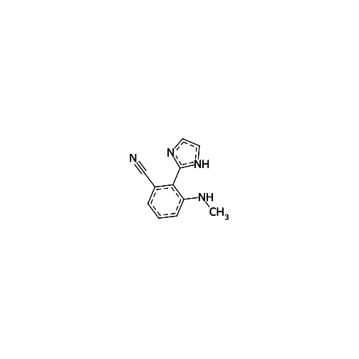 CNc1cccc(C#N)c1-c1ncc[nH]1